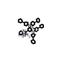 C=C1C=CC=C/C1=N/C(=C\C)c1cc2c3c(c1)N(c1ccc(-c4ccccc4)cc1)c1ccc(-c4ccccc4)cc1[SH]3C1=C(CCC(c3ccccc3)=C1)N2c1ccc(-c2ccccc2)cc1